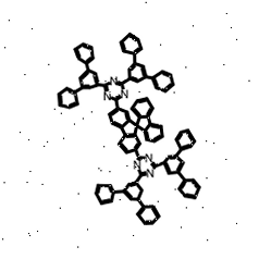 C1=C(c2ccccc2)C=C(c2nc(-c3cc(-c4ccccc4)cc(-c4ccccc4)c3)nc(-c3ccc4c(c3)C3(c5ccccc5-c5ccccc53)c3cc(-c5nc(-c6cc(-c7ccccc7)cc(-c7ccccc7)c6)nc(-c6cc(-c7ccccc7)cc(-c7ccccc7)c6)n5)ccc3-4)n2)CC1c1ccccc1